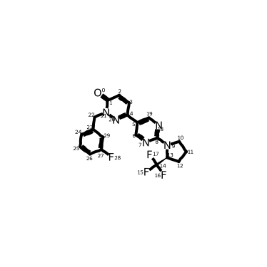 O=c1ccc(-c2cnc(N3CCC[C@H]3C(F)(F)F)nc2)nn1Cc1cccc(F)c1